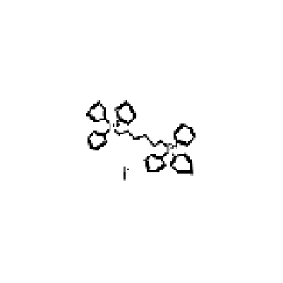 [I-].[I-].c1ccc([P+](CCCCCC[P+](c2ccccc2)(c2ccccc2)c2ccccc2)(c2ccccc2)c2ccccc2)cc1